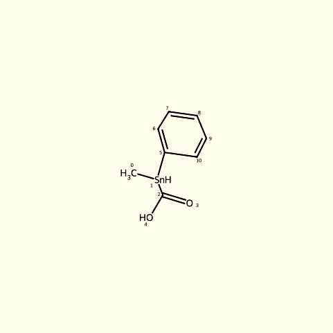 [CH3][SnH]([C](=O)O)[c]1ccccc1